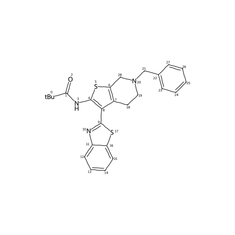 CC(C)(C)C(=O)Nc1sc2c(c1-c1nc3ccccc3s1)CCN(Cc1ccccc1)C2